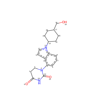 O=C1CCN(c2cccc3c2ccn3C2CCC(CO)CC2)C(=O)N1